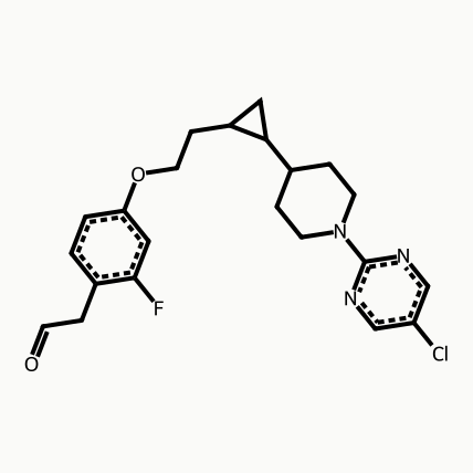 O=CCc1ccc(OCCC2CC2C2CCN(c3ncc(Cl)cn3)CC2)cc1F